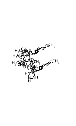 CCOCCOCCOc1ccc(CCC[C@@H](C(=O)OC)N2CCN([C@@H](COC(C)(C)C)C(=O)OC)CCN([C@@H](COC(C)(C)C)C(=O)OC)CCN([C@@H](COC(C)(C)C)C(=O)OC)CC2)cc1.CCOCCOCCOc1ccc(CCC[C@@H](C(=O)OC)N2CCNCCNCCNCC2)cc1